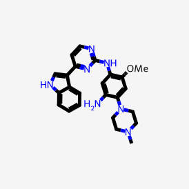 COc1cc(N2CCN(C)CC2)c(N)cc1Nc1nccc(-c2c[nH]c3ccccc23)n1